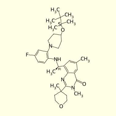 Cc1cc([C@@H](C)Nc2ccc(F)cc2N2CCC(O[Si](C)(C)C(C)(C)C)CC2)c2nc(C3(C)CCOCC3)n(C)c(=O)c2c1